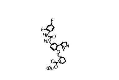 Cn1nccc1-c1cc(NC(=O)Nc2ccc(F)cc2F)ccc1OC[C@@H]1CCCN1C(=O)OC(C)(C)C